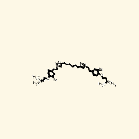 CN(C)CCOc1ccc(CCn2cc(CCCCCCc3cn(CCc4ccc(OCCN(C)C)c(Br)c4)nn3)nn2)cc1Br